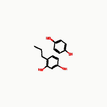 CCCc1ccc(O)cc1O.Oc1ccc(O)cc1